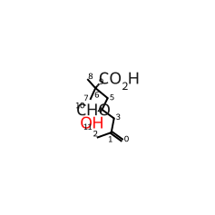 C=C(C)CCCC(C)(C)C(=O)O.O=CO